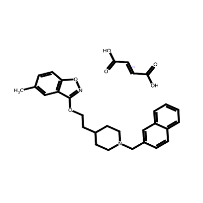 Cc1ccc2onc(OCCC3CCN(Cc4ccc5ccccc5c4)CC3)c2c1.O=C(O)/C=C/C(=O)O